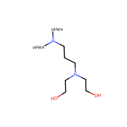 CCCCCCN(CCCCCC)CCCN(CCO)CCO